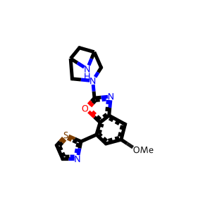 COc1cc(-c2nccs2)c2oc(N3CC4CC(C3)N4)nc2c1